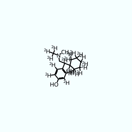 [2H]c1c([2H])c(C([2H])(CN(C)C([2H])([2H])[2H])C2(O)C([2H])([2H])C([2H])([2H])C([2H])([2H])C([2H])([2H])C2([2H])[2H])c([2H])c([2H])c1O